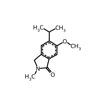 COc1cc2c(cc1C(C)C)CN(C)C2=O